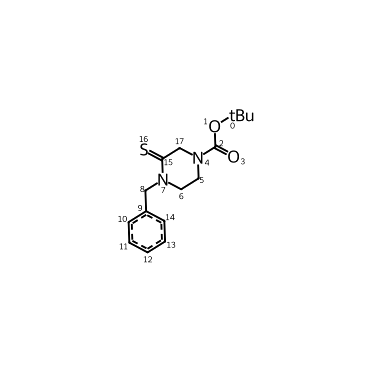 CC(C)(C)OC(=O)N1CCN(Cc2ccccc2)C(=S)C1